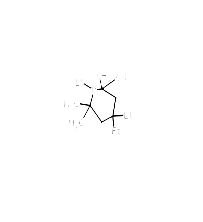 CCP1C(C)(C)CC(CC)(CC)CC1(C)C